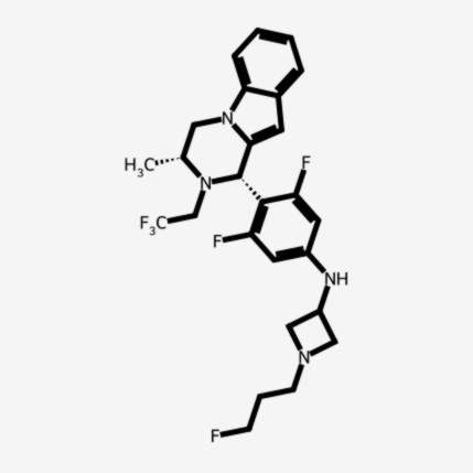 C[C@@H]1Cn2c(cc3ccccc32)[C@H](c2c(F)cc(NC3CN(CCCF)C3)cc2F)N1CC(F)(F)F